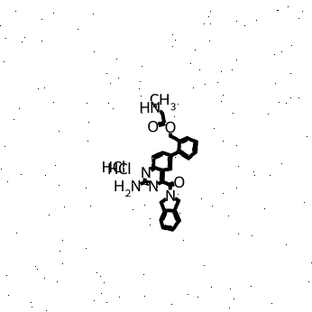 CNCC(=O)OCc1ccccc1-c1ccc2nc(N)nc(C(=O)N3Cc4ccccc4C3)c2c1.Cl.Cl